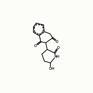 O=C1NC(O)CCC1C1C(=O)Cc2ccccc2C1=O